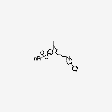 CCCC(=O)Oc1ccc2[nH]cc(CCCCN3CCC(c4ccccc4)CC3)c2c1